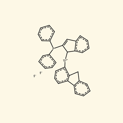 C1=C(P(c2ccccc2)c2ccccc2)[CH]([Ti+2][c]2cccc3c2Cc2ccccc2-3)c2ccccc21.[F-].[F-]